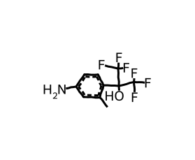 Cc1cc(N)ccc1C(O)(C(F)(F)F)C(F)(F)F